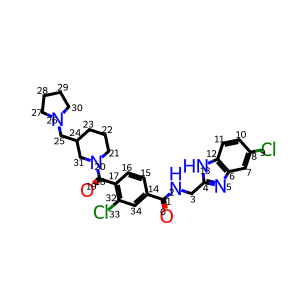 O=C(NCc1nc2cc(Cl)ccc2[nH]1)c1ccc(C(=O)N2CCCC(CN3CCCC3)C2)c(Cl)c1